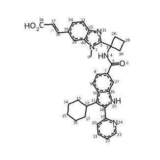 Cn1c(C2(NC(=O)c3ccc4c(C5CCCCC5)c(-c5ccccn5)[nH]c4c3)CCC2)nc2ccc(/C=C/C(=O)O)cc21